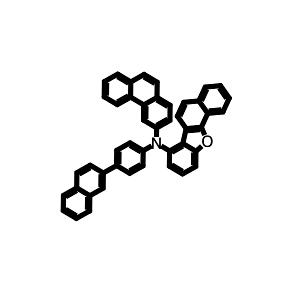 c1ccc2cc(-c3ccc(N(c4ccc5ccc6ccccc6c5c4)c4cccc5oc6c7ccccc7ccc6c45)cc3)ccc2c1